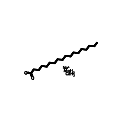 CCCCCCCCCCCCCCCCCC(=O)[O-].[CaH2].[MgH2].[Na+]